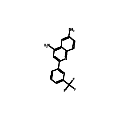 Nc1ccc2nc(-c3cccc(C(F)(F)F)c3)cc(N)c2c1